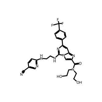 N#Cc1ccc(NCCNc2nc(-c3ccc(C(F)(F)F)cc3)cc3nc(C(=O)N(CCO)CCO)cn23)nc1